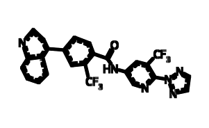 O=C(Nc1cnc(-n2nccn2)c(C(F)(F)F)c1)c1ccc(-c2ccnc3ccccc23)cc1C(F)(F)F